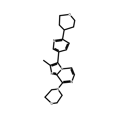 Cc1nc2c(N3CCOCC3)nccn2c1-c1ccc(C2CCOCC2)nc1